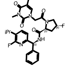 Cc1cn(CC(=O)N2C[C@H](F)C[C@H]2C(=O)N[C@@H](c2ccccc2)c2ccc(C(C)C)c(F)n2)c(=O)n(C)c1=O